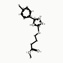 COC(=O)CCCSc1nnc(-c2ccc(C)cc2)o1